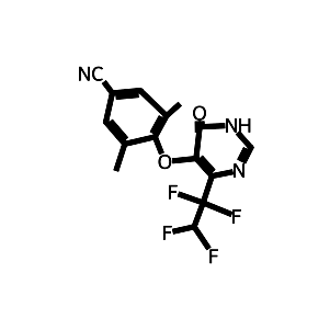 Cc1cc(C#N)cc(C)c1Oc1c(C(F)(F)C(F)F)nc[nH]c1=O